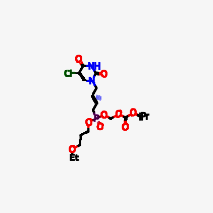 CCOCCCOP(=O)(C/C=C/Cn1cc(Cl)c(=O)[nH]c1=O)OCOC(=O)OC(C)C